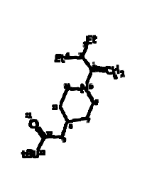 C=C(C(CC)CC)N1CCC(CC(=O)C(C)(C)C)CC1